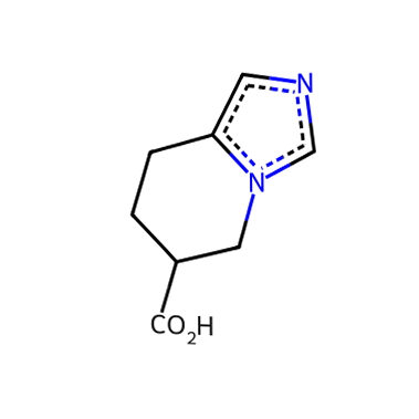 O=C(O)C1CCc2cncn2C1